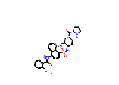 Cc1ccccc1C(=O)Nc1ccc(S(=O)(=O)N[C@H]2CCN(C(=O)[C@@H]3CCCN3)C[C@@H]2C)c2ccccc12